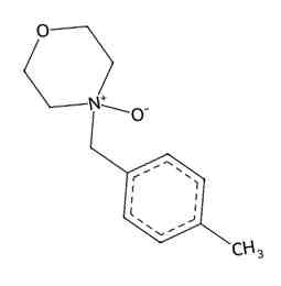 Cc1ccc(C[N+]2([O-])CCOCC2)cc1